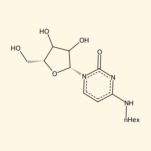 CCCCCCNc1ccn([C@@H]2O[C@H](CO)C(O)C2O)c(=O)n1